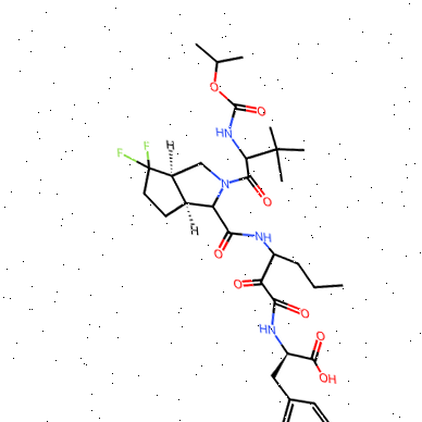 CCCC(NC(=O)C1[C@H]2CCC(F)(F)[C@H]2CN1C(=O)C(NC(=O)OC(C)C)C(C)(C)C)C(=O)C(=O)N[C@H](Cc1ccccc1)C(=O)O